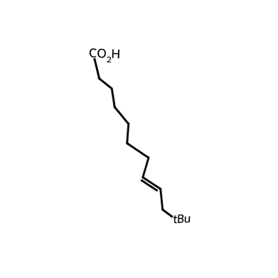 CC(C)(C)CC=CCCCCCCC(=O)O